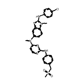 CN(c1ccc2c(c1)nc(Nc1ccc(Cl)cc1)n2C)c1ccnc(Nc2ccc(CS(C)(=O)=O)cc2)n1